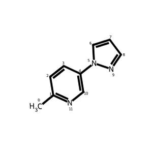 Cc1ccc(-n2cccn2)cn1